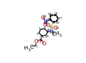 CCOC(=O)[C@H]1CCC[C@@H](N(C)S(=O)(=O)c2ccccc2[N+](=O)[O-])C1